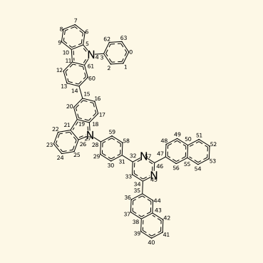 c1ccc(-n2c3ccccc3c3ccc(-c4ccc5c(c4)c4ccccc4n5-c4ccc(-c5cc(-c6ccc7ccccc7c6)nc(-c6ccc7ccccc7c6)n5)cc4)cc32)cc1